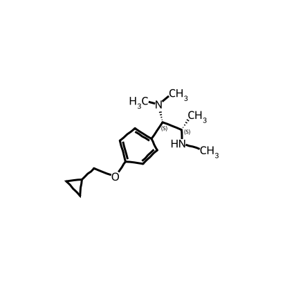 CN[C@@H](C)[C@H](c1ccc(OCC2CC2)cc1)N(C)C